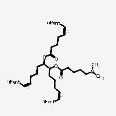 CCCCC/C=C\CCCC(=O)OC(CCC/C=C\CCCCC)C(CCC/C=C\CCCCC)OC(=O)CCCCN(C)C